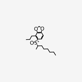 CCCCCCC(C)[S+]([O-])c1ccc2c(c1CCC)OCO2